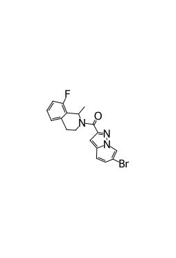 CC1c2c(F)cccc2CCN1C(=O)c1cc2ccc(Br)cn2n1